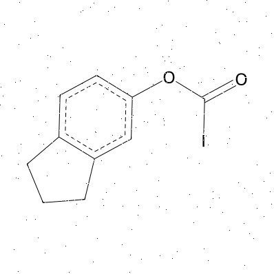 O=C(I)Oc1ccc2c(c1)CCC2